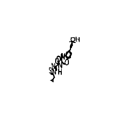 CN1C(=O)C(NC(=O)c2cn3c(CC4CC4)csc3n2)COc2ccc(C#CC(C)(C)O)cc21